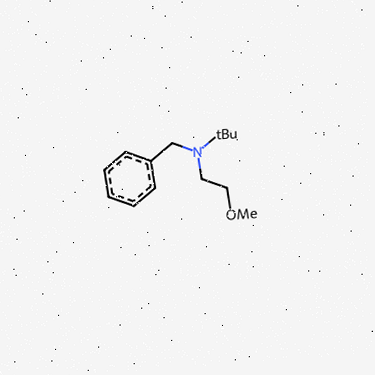 COCCN(Cc1ccccc1)C(C)(C)C